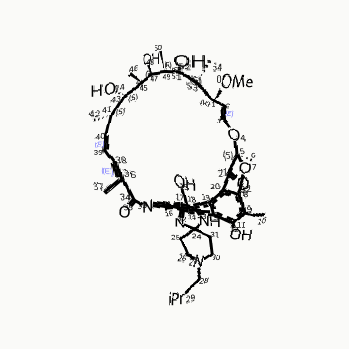 CO[C@H]1/C=C/O[C@@]2(C)Oc3c(C)c(O)c4c(O)c(c5c(c4c3C2=O)NC2(CCN(CC(C)C)CC2)N=5)=NC(=O)/C(C)=C/C=C/[C@H](C)[C@H](O)[C@@H](C)[C@@H](O)[C@@H](C)[C@H](O)[C@@H]1C